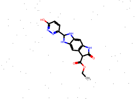 CCOC(=O)C1C(=O)Nc2cc3c(cc21)NC(c1ccc(O)nn1)N3